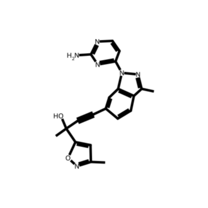 Cc1cc(C(C)(O)C#Cc2ccc3c(C)nn(-c4ccnc(N)n4)c3c2)on1